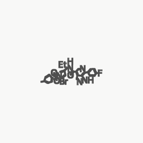 CC[C@H](NC(=O)c1cnc(-c2ccc(F)cc2)c2[nH]ncc12)c1cc(Br)n(S(=O)(=O)c2ccc(C)cc2)c1